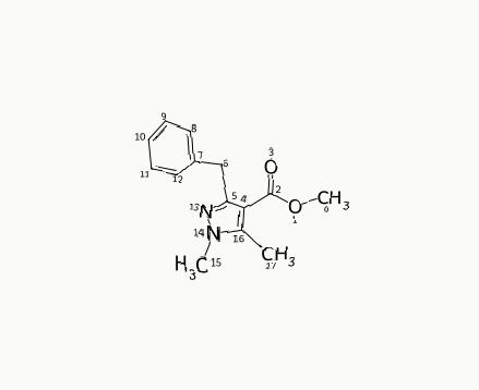 COC(=O)c1c(Cc2ccccc2)nn(C)c1C